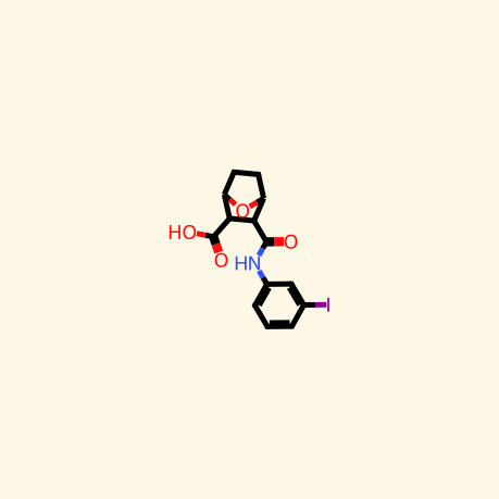 O=C(O)C1C2CCC(O2)C1C(=O)Nc1cccc(I)c1